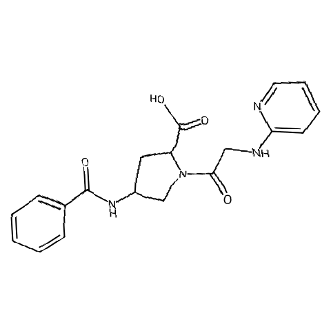 O=C(NC1CC(C(=O)O)N(C(=O)CNc2ccccn2)C1)c1ccccc1